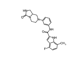 Cc1ccc(F)c2cc(C(=O)Nc3cccc(N4CCN5C(=O)NCC5C4)c3)[nH]c12